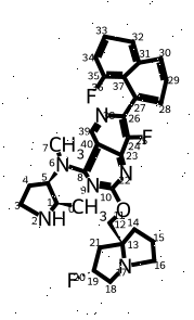 C[C@H]1NCC[C@H]1N(C)c1nc(OC[C@@]23CCCN2C[C@H](F)C3)nc2c(F)c(-c3cccc4cccc(F)c34)ncc12